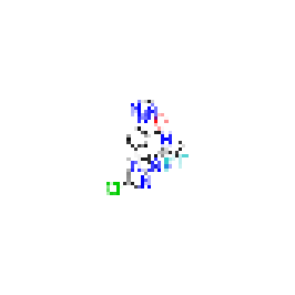 Cc1ccc(-n2nccn2)c(C(=O)N2CCC(F)(F)[C@H]2CNc2ncc(Cl)cn2)c1